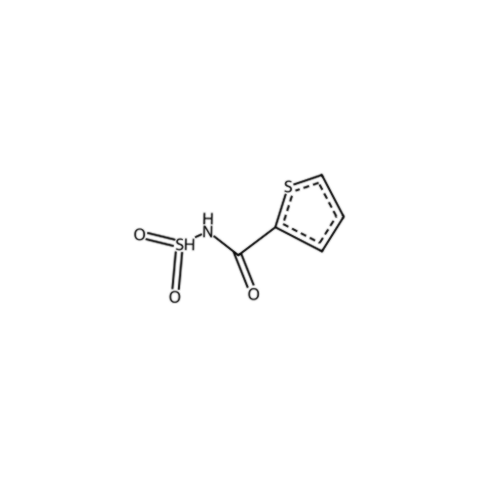 O=C(N[SH](=O)=O)c1cccs1